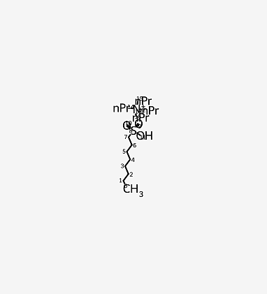 CCCCCCCCS(=O)(=O)O.CCC[N+](CCC)(CCC)CCC